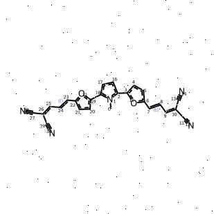 Cn1c(-c2ccc(/C=C/C=C(C#N)C#N)o2)ccc1-c1ccc(/C=C/C=C(C#N)C#N)o1